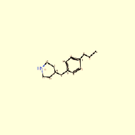 CCCc1ccc(CC2[CH]CNCC2)cc1